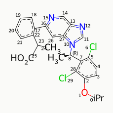 CC(C)Oc1ccc(Cl)c([C@@H](C)n2cnc3cnc(-c4ccccc4C(C)C(=O)O)cc32)c1Cl